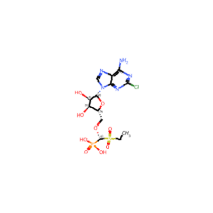 CCS(=O)(=O)[C@@H](OC[C@H]1O[C@@H](n2cnc3c(N)nc(Cl)nc32)[C@H](O)[C@@H]1O)P(=O)(O)O